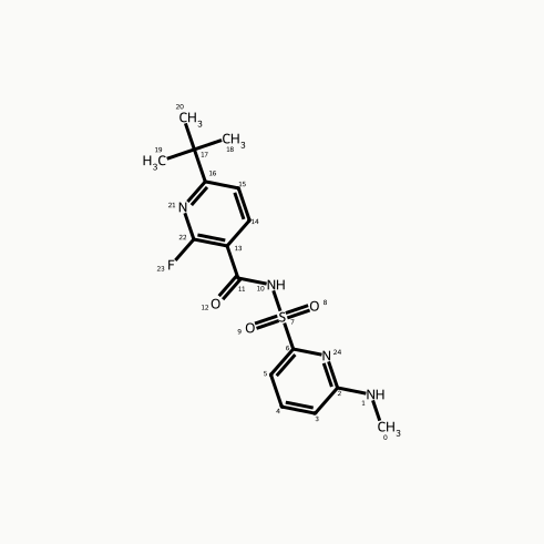 CNc1cccc(S(=O)(=O)NC(=O)c2ccc(C(C)(C)C)nc2F)n1